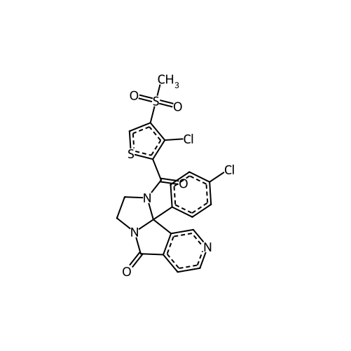 CS(=O)(=O)c1csc(C(=O)N2CCN3C(=O)c4ccncc4C32c2ccc(Cl)cc2)c1Cl